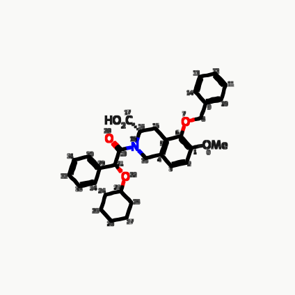 COc1ccc2c(c1OCc1ccccc1)C[C@@H](C(=O)O)N(C(=O)[C@@H](OC1CCCCC1)c1ccccc1)C2